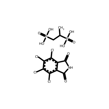 CC(CP(=O)(O)O)P(=O)(O)O.O=C1NC(=O)c2c(Cl)c(Cl)c(Cl)c(Cl)c21